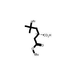 CCCC(C)(C)C[C@@H](CC(=O)OC(C)(C)C)C(=O)O